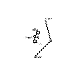 CCCCCC1=C(c2cccc(CCCC)c2)[N+](=[N-])C(c2cccc(CCCC)c2)=C1.CCCCCCCCCCCCCCCCCCCCCCC[CH2][Ni][CH2]CCCCCCCCCCCCCCCCCCCCCCC